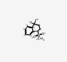 CS(=O)(=O)C1CCC(F)(F)c2ccccc21